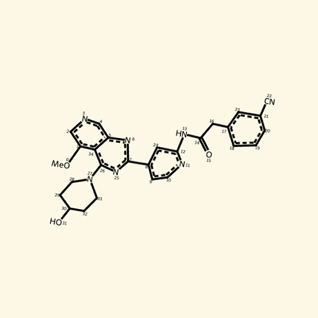 COc1cncc2nc(-c3ccnc(NC(=O)Cc4cccc(C#N)c4)c3)nc(N3CCC(O)CC3)c12